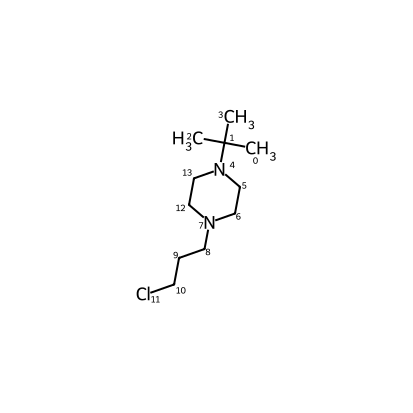 CC(C)(C)N1CCN(CCCCl)CC1